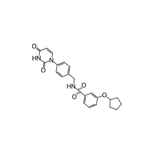 O=c1ccn(-c2ccc(CNS(=O)(=O)c3cccc(OC4CCCC4)c3)cc2)c(=O)[nH]1